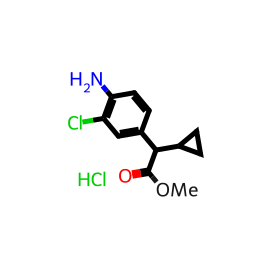 COC(=O)C(c1ccc(N)c(Cl)c1)C1CC1.Cl